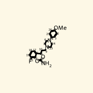 COc1ccc(N2CCN(CCC(OC(N)=O)c3cccc(F)c3)CC2)cc1